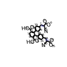 COC(=O)/C(C#N)=C/c1ccc(-c2c(C(=O)O)ccc(C(=O)O)c2-c2ccc(/C=C(\C#N)C(=O)OC)cc2)cc1